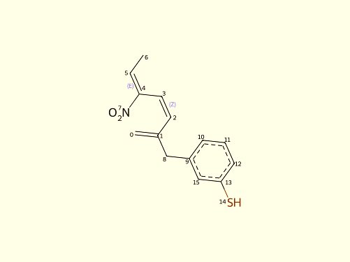 C=C(/C=C\C(=C/C)[N+](=O)[O-])Cc1cccc(S)c1